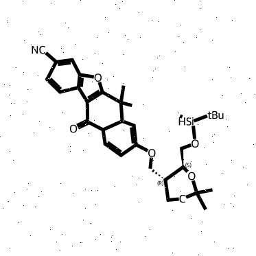 C[SiH](OC[C@H]1OC(C)(C)CC[C@@H]1COC1=CC2C(C=C1)C(=O)c1c(oc3cc(C#N)ccc13)C2(C)C)C(C)(C)C